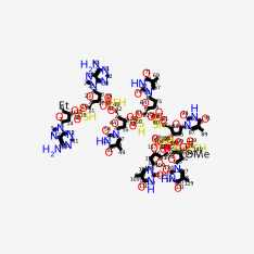 CC[C@H]1O[C@@H](n2cnc3c(N)ncnc32)CC1OP(=O)(S)OC[C@H]1O[C@@H](n2cnc3c(N)ncnc32)CC1OP(=O)(S)OC[C@H]1O[C@@H](n2cc(C)c(=O)[nH]c2=O)CC1OP(=O)(S)OC[C@H]1O[C@@H](n2cc(C)c(=O)[nH]c2=O)CC1OP(=O)(S)OC[C@H]1O[C@@H](n2cc(C)c(=O)[nH]c2=O)CC1OP(=O)(S)OC[C@H]1O[C@@H](n2cc(C)c(=O)[nH]c2=O)CC1OP(=O)(S)OC[C@H]1O[C@@H](n2cc(C)c(=O)[nH]c2=O)CC1OP(=O)(S)OC